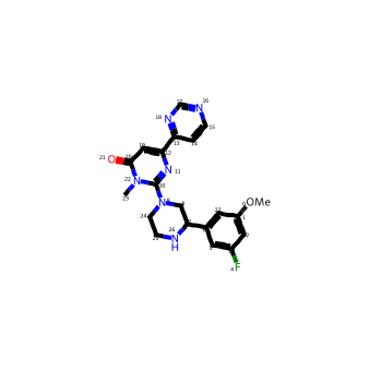 COc1cc(F)cc(C2CN(c3nc(-c4ccncn4)cc(=O)n3C)CCN2)c1